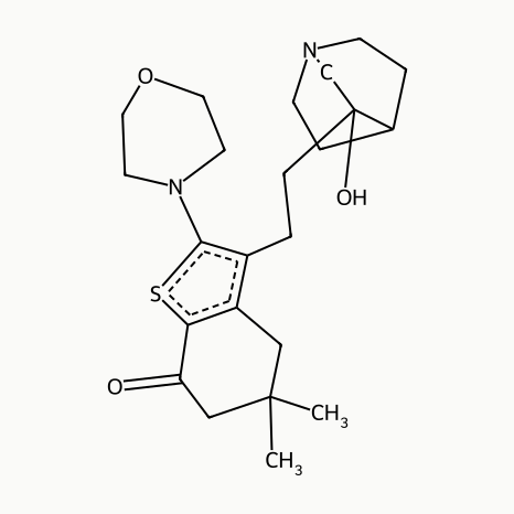 CC1(C)CC(=O)c2sc(N3CCOCC3)c(CCC3(O)CN4CCC3CC4)c2C1